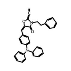 C=C=c1o/c(=C/c2ccc(N(c3ccccc3)c3ccccc3)cc2)c(=O)n1CCc1ccccc1